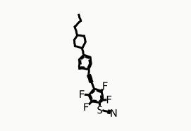 CCCC1CCC(c2ccc(C#Cc3c(F)c(F)c(SC#N)c(F)c3F)cc2)CC1